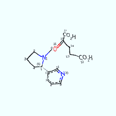 CN1CCC[C@H]1c1cccnc1.O=C(O)CCC(=O)C(=O)O